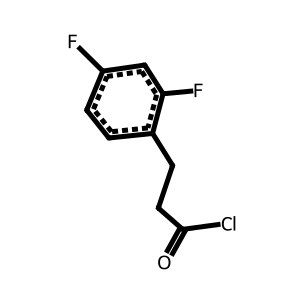 O=C(Cl)CCc1ccc(F)cc1F